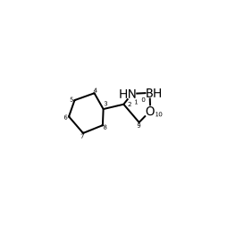 B1NC(C2CCCCC2)CO1